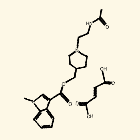 CC(=O)NCCN1CCC(COC(=O)c2cn(C)c3ccccc23)CC1.O=C(O)C=CC(=O)O